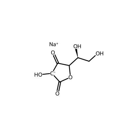 O=C1OC([C@@H](O)CO)C(=O)[C-]1O.[Na+]